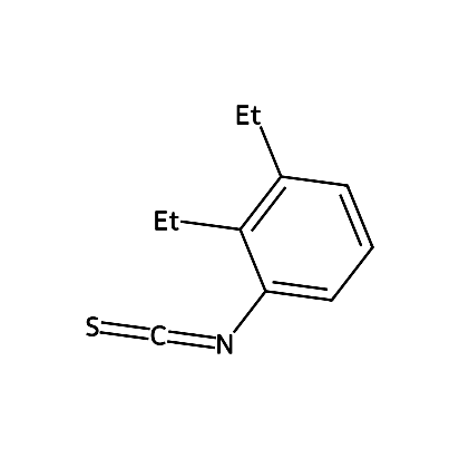 CCc1cccc(N=C=S)c1CC